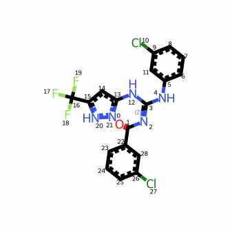 O=C(/N=C(/Nc1cccc(Cl)c1)Nc1cc(C(F)(F)F)[nH]n1)c1cccc(Cl)c1